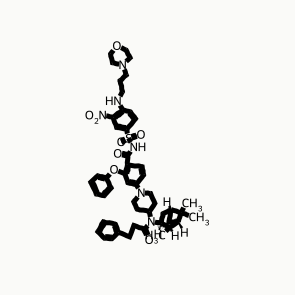 C[C@@H]1[C@@H](N(C(=O)CCc2ccccc2)C2CCN(c3ccc(C(=O)NS(=O)(=O)c4ccc(NCCCN5CCOCC5)c([N+](=O)[O-])c4)c(Oc4ccccc4)c3)CC2)C[C@H]2C[C@@H]1C2(C)C